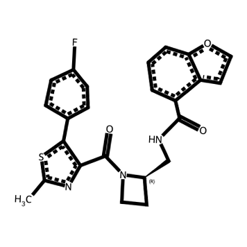 Cc1nc(C(=O)N2CC[C@@H]2CNC(=O)c2cccc3occc23)c(-c2ccc(F)cc2)s1